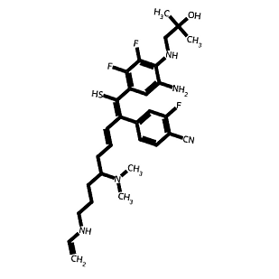 C=CNCCCC(C/C=C/C(=C(\S)c1cc(N)c(NCC(C)(C)O)c(F)c1F)c1ccc(C#N)c(F)c1)N(C)C